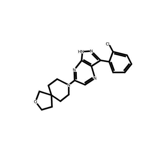 Clc1ccccc1-c1n[nH]c2nc(N3CCC4(CCOC4)CC3)cnc12